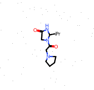 CC(C)C1NC(=O)CN1C(=O)CN1CCCC1